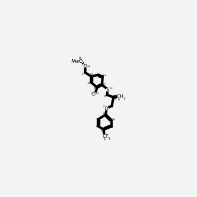 C=C(COc1ccc(C(F)(F)F)cc1)CSc1ccc(COOC)cc1Cl